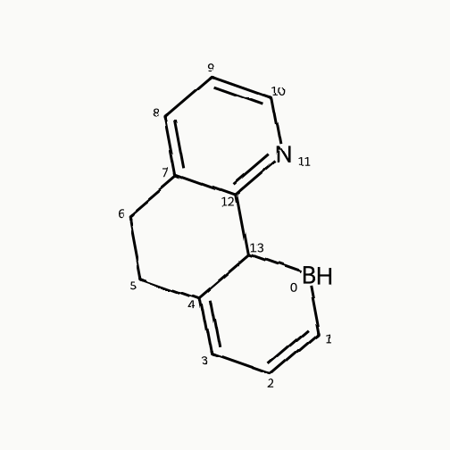 B1C=CC=C2CCc3cccnc3C12